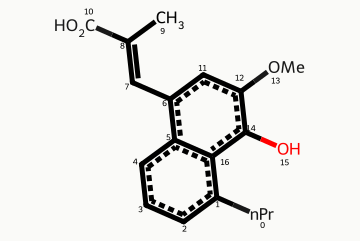 CCCc1cccc2c(/C=C(\C)C(=O)O)cc(OC)c(O)c12